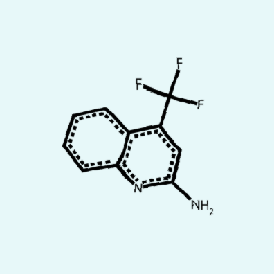 Nc1cc(C(F)(F)F)c2ccccc2n1